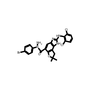 CC1(C)Cc2c(c(C(=O)N(N)c3ccc(Br)cc3)cc3nc(Nc4c(Cl)cccc4Cl)[nH]c23)O1